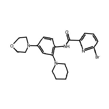 O=C(Nc1ccc(N2CCOCC2)cc1N1CCCCC1)c1cccc(Br)n1